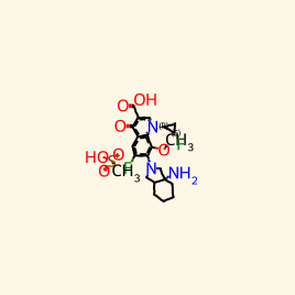 COc1c(N2CC3CCCCC3(N)C2)c(F)cc2c(=O)c(C(=O)O)cn([C@@H]3C[C@@H]3F)c12.CS(=O)(=O)O